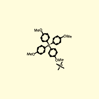 COc1ccc([B-](c2ccc(OC)cc2)(c2ccc(OC)cc2)c2ccc(OC)cc2)cc1.C[N+](C)(C)C